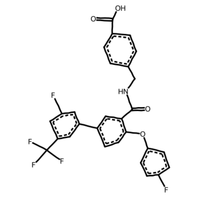 O=C(O)c1ccc(CNC(=O)c2cc(-c3cc(F)cc(C(F)(F)F)c3)ccc2Oc2ccc(F)cc2)cc1